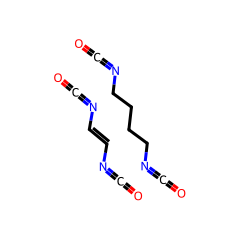 O=C=NC=CN=C=O.O=C=NCCCCN=C=O